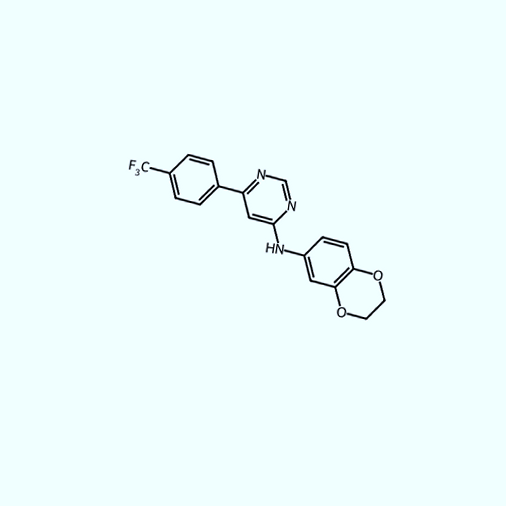 FC(F)(F)c1ccc(-c2cc(Nc3ccc4c(c3)OCCO4)ncn2)cc1